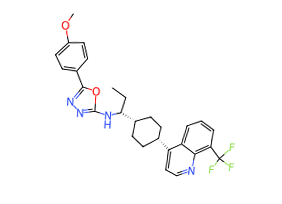 CCC(Nc1nnc(-c2ccc(OC)cc2)o1)[C@H]1CC[C@@H](c2ccnc3c(C(F)(F)F)cccc32)CC1